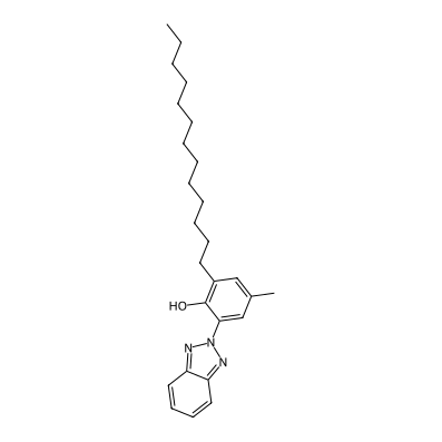 CCCCCCCCCCCCCc1cc(C)cc(-n2nc3ccccc3n2)c1O